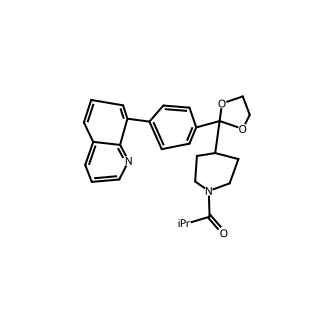 CC(C)C(=O)N1CCC(C2(c3ccc(-c4cccc5cccnc45)cc3)OCCO2)CC1